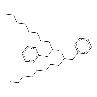 CCCCCCCCC(Cc1ccccc1)OC(CCCCCCCC)Cc1ccccc1